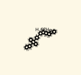 CC1(C)c2ccc(-c3ccc(-c4c5ccccc5c(-c5ccc6ccccc6c5)c5ccccc45)cc3)cc2-c2cc3ccc4c5ccccc5oc4c3cc21